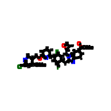 COC(=O)c1ccc2nc(Cc3cc(F)c(-c4cccc(OCc5cnc(Cl)cc5OC)n4)cc3F)n(CC3CCO3)c2c1